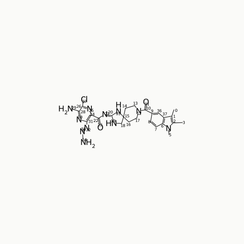 Cc1c(C)n(C)c2ccc(C(=O)N3CCC4(CC3)CN/C(=N\C(=O)c3nc(Cl)c(N)nc3N=NN)N4)cc12